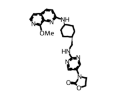 COc1nccc2ccc(N[C@H]3CC[C@H](CNc4ncc(N5CCOC5=O)cn4)CC3)nc12